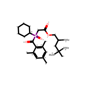 CNC(COC(=O)CP(=O)(C(=O)c1c(C)cc(C)cc1C)C1CCCCC1)CC(C)(NC)NC